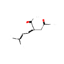 COC(=O)C/C(=C/C=C(C)C)C(=O)OC